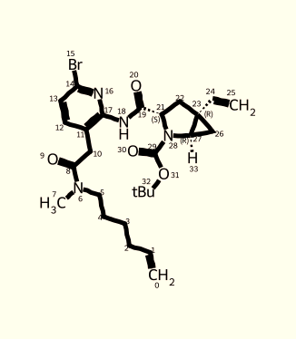 C=CCCCCN(C)C(=O)Cc1ccc(Br)nc1NC(=O)[C@@H]1C[C@@]2(C=C)C[C@H]2N1C(=O)OC(C)(C)C